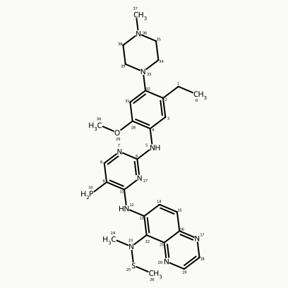 CCc1cc(Nc2ncc(P)c(Nc3ccc4nccnc4c3N(C)SC)n2)c(OC)cc1N1CCN(C)CC1